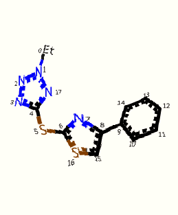 CCn1nnc(Sc2nc(-c3ccccc3)cs2)n1